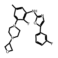 Cc1cc(Nc2ncc(-c3cccc(F)c3)o2)c(F)c(N2CCN(C3COC3)CC2)c1